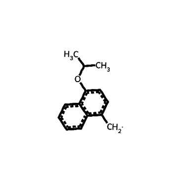 [CH2]c1ccc(OC(C)C)c2ccccc12